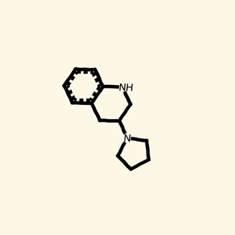 c1ccc2c(c1)CC(N1CCCC1)CN2